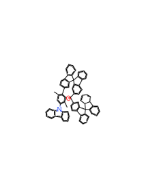 Cc1cc(-n2c3ccccc3c3ccccc32)c(C)cc1-c1ccc2c(c1)C1(c3ccccc3-c3ccc(C(=O)c4ccc5c(c4)C4(c6ccccc6-5)c5ccccc5C5C=CC=CC54)cc31)c1ccccc1-2